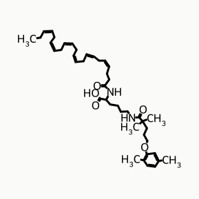 CC/C=C\C/C=C\C/C=C\C/C=C\C/C=C\C/C=C\CCC(=O)NC(CCCCNC(=O)C(C)(C)CCCOc1cc(C)ccc1C)C(=O)O